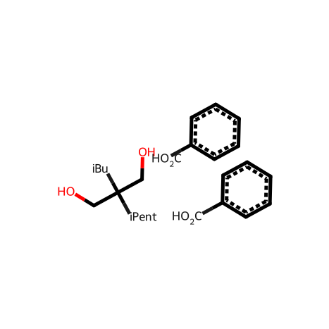 CCCC(C)C(CO)(CO)C(C)CC.O=C(O)c1ccccc1.O=C(O)c1ccccc1